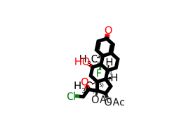 CC(=O)OC1C[C@H]2[C@@H]3CCC4=CC(=O)C=C[C@]4(C)[C@@]3(F)C(O)C[C@]2(C)[C@@]1(OC(C)=O)C(=O)CCl